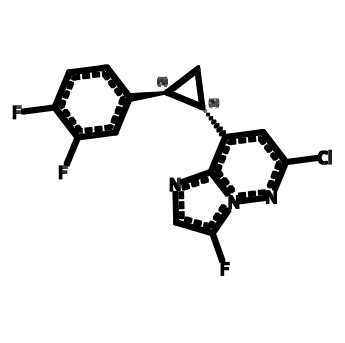 Fc1ccc([C@H]2C[C@@H]2c2cc(Cl)nn3c(F)cnc23)cc1F